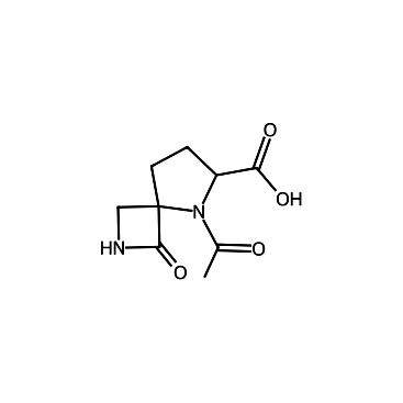 CC(=O)N1C(C(=O)O)CCC12CNC2=O